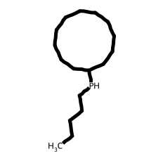 CCCCCPC1CCCCCCCCCCC1